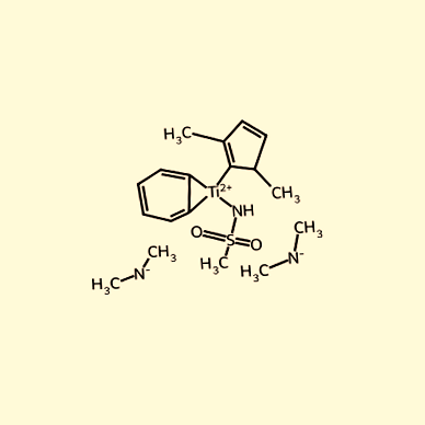 CC1=[C]([Ti+2]2([NH]S(C)(=O)=O)[c]3cccc[c]32)C(C)C=C1.C[N-]C.C[N-]C